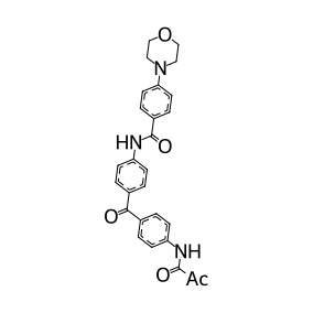 CC(=O)C(=O)Nc1ccc(C(=O)c2ccc(NC(=O)c3ccc(N4CCOCC4)cc3)cc2)cc1